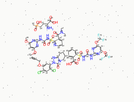 C#CCOc1cc(-n2nc3n(c2=O)CCCC3)c(Cl)cc1Cl.COc1cc(OC)nc(NC(=O)NS(=O)(=O)c2ncccc2C(=O)N(C)C)n1.CP(=O)(O)CCC(N)C(=O)O.O=C(Nc1nc(OC(F)F)cc(OC(F)F)n1)NS(=O)(=O)c1ccccc1C(=O)O